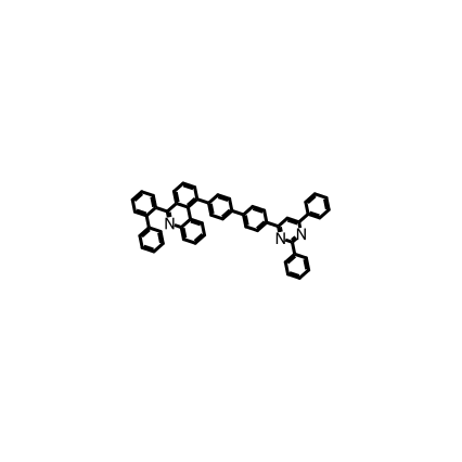 c1ccc(-c2cc(-c3ccc(-c4ccc(-c5cccc6c(-c7ccccc7-c7ccccc7)nc7ccccc7c56)cc4)cc3)nc(-c3ccccc3)n2)cc1